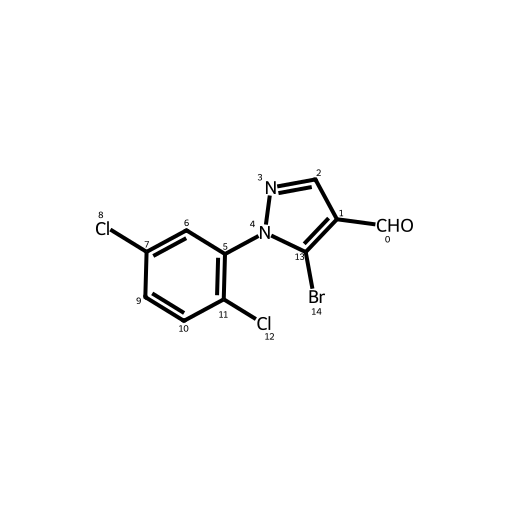 O=Cc1cnn(-c2cc(Cl)ccc2Cl)c1Br